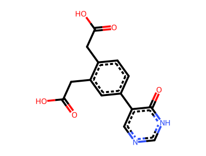 O=C(O)Cc1ccc(-c2cnc[nH]c2=O)cc1CC(=O)O